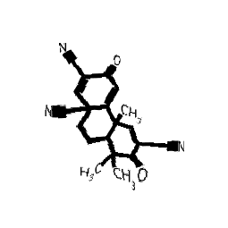 CC1(C)C(=O)C(C#N)=CC2(C)C3=CC(=O)C(C#N)=CC3(C#N)CCC12